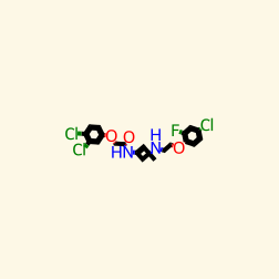 CC1(NCCOc2ccc(Cl)cc2F)C=C(NC(=O)COc2ccc(Cl)c(Cl)c2)C1